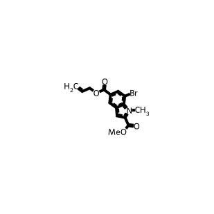 C=CCOC(=O)c1cc(Br)c2c(c1)cc(C(=O)OC)n2C